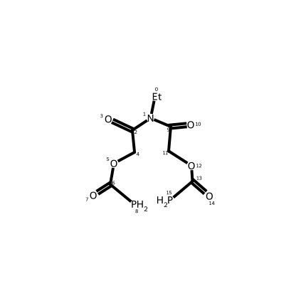 CCN(C(=O)COC(=O)P)C(=O)COC(=O)P